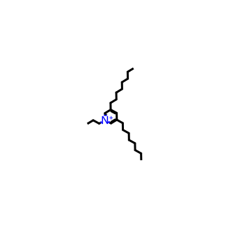 CCCCCCCCc1cc(CCCCCCCC)c[n+](CCC)c1